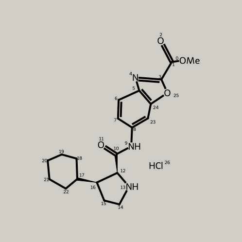 COC(=O)c1nc2ccc(NC(=O)[C@H]3NCC[C@H]3C3CCCCC3)cc2o1.Cl